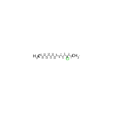 [CH2]CCC(Cl)CCCCCCCCCCCCCC